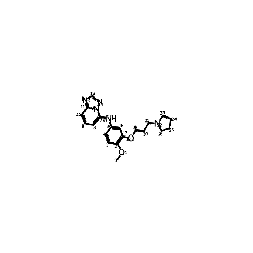 COc1ccc(Nc2cccc3ncnn23)cc1OCCCN1CCCC1